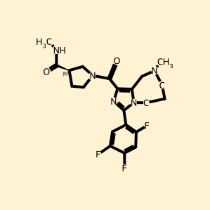 CNC(=O)[C@@H]1CCN(C(=O)c2nc(-c3cc(F)c(F)cc3F)n3c2CN(C)CCC3)C1